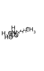 CCCCCCCC(=O)NC(C)CO